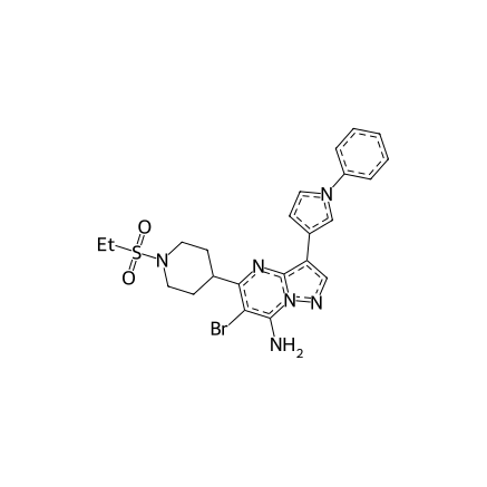 CCS(=O)(=O)N1CCC(c2nc3c(-c4ccn(-c5ccccc5)c4)cnn3c(N)c2Br)CC1